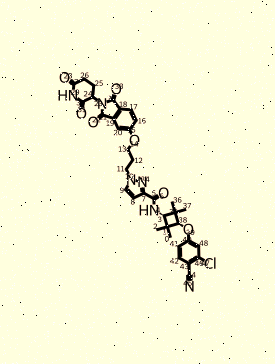 CC1(C)[C@H](NC(=O)c2ccn(CCCOc3ccc4c(c3)C(=O)N(C3CCC(=O)NC3=O)C4=O)n2)C(C)(C)[C@H]1Oc1ccc(C#N)c(Cl)c1